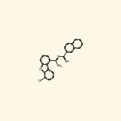 N=C(/N=C(\N)c1cccc2oc3c(Cl)cccc3c12)c1ccc2ccccc2c1